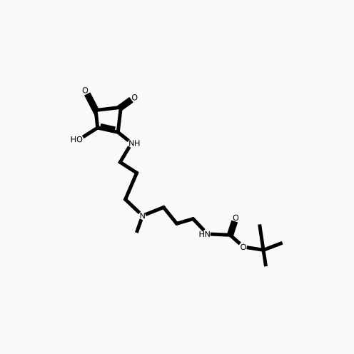 CN(CCCNC(=O)OC(C)(C)C)CCCNc1c(O)c(=O)c1=O